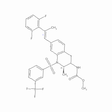 COC(=O)NC1Cc2ccc(/C=C(\C)c3c(F)cccc3F)cc2N(S(=O)(=O)c2cccc(C(F)(F)F)c2)[C@@H]1C